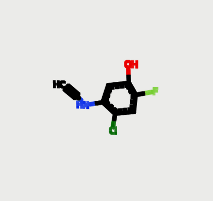 C#CNc1cc(O)c(F)cc1Cl